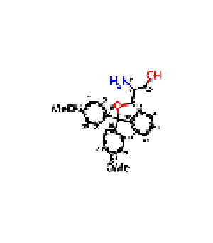 COc1ccc(C(OCC(N)CO)(c2ccccc2)c2ccc(OC)cc2)cc1